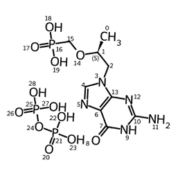 C[C@@H](Cn1cnc2c(=O)[nH]c(N)nc21)OCP(=O)(O)O.O=P(O)(O)OP(=O)(O)O